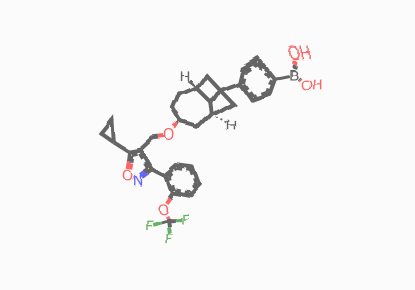 OB(O)c1ccc(C23C[C@H]4CC[C@H](OCc5c(-c6ccccc6OC(F)(F)F)noc5C5CC5)C[C@H](C2)C43)cc1